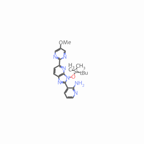 COc1cnc(-c2ccc3nc(-c4cccnc4N)n(O[Si](C)(C)C(C)(C)C)c3n2)nc1